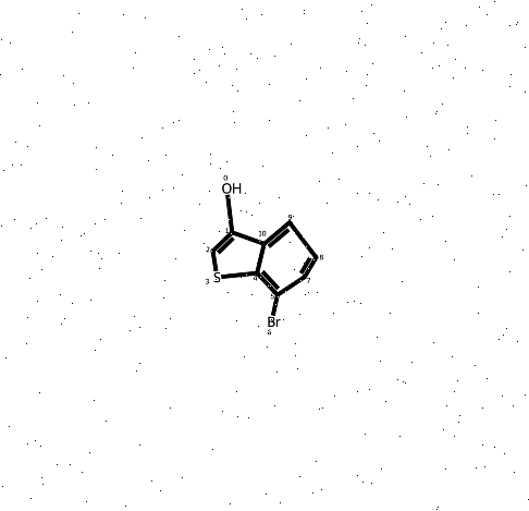 Oc1csc2c(Br)cccc12